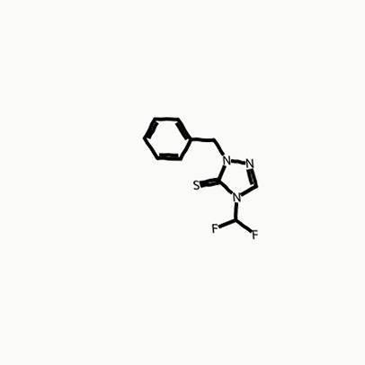 FC(F)n1cnn(Cc2ccccc2)c1=S